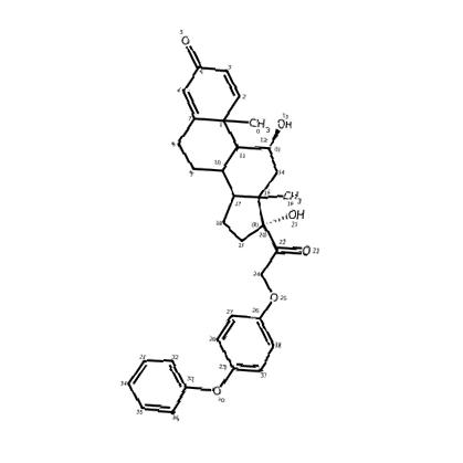 CC12C=CC(=O)C=C1CCC1C2[C@@H](O)CC2(C)C1CC[C@]2(O)C(=O)COc1ccc(Oc2ccccc2)cc1